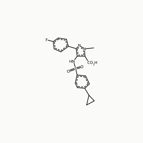 Cn1nc(-c2ccc(F)cc2)c(NS(=O)(=O)c2ccc(C3CC3)cc2)c1C(=O)O